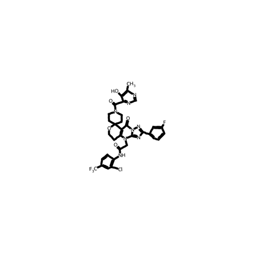 Cc1ncnc(C(=O)N2CCC3(CC2)OCCc2c3c(=O)n3nc(-c4cccc(F)c4)nc3n2CC(=O)Nc2ccc(C(F)(F)F)cc2Cl)c1O